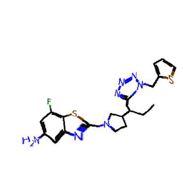 CCC(c1nnnn1Cc1cccs1)C1CCN(c2nc3cc(N)cc(F)c3s2)C1